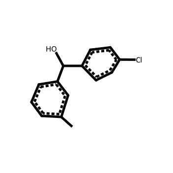 Cc1cccc(C(O)c2ccc(Cl)cc2)c1